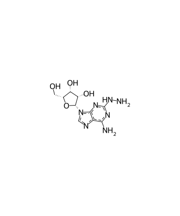 NNc1nc(N)c2ncn([C@@H]3O[C@H](CO)[C@H](O)[C@@H]3O)c2n1